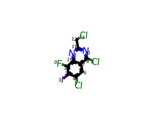 Fc1c(I)c(Cl)cc2c(Cl)nc(CCl)nc12